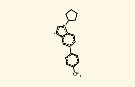 FC(F)(F)c1ccc(-c2ccc3c([c]cn3C3CCCC3)c2)cc1